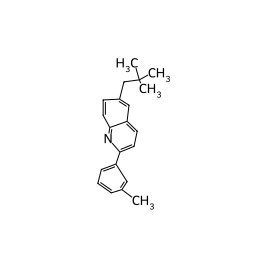 Cc1cccc(-c2ccc3cc(CC(C)(C)C)ccc3n2)c1